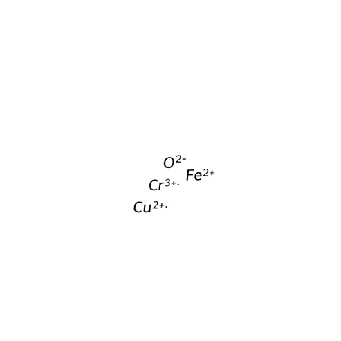 [Cr+3].[Cu+2].[Fe+2].[O-2]